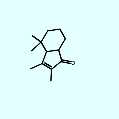 CC1=C(C)C2C(CCCC2(C)C)C1=O